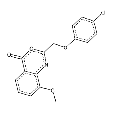 COc1cccc2c(=O)oc(COc3ccc(Cl)cc3)nc12